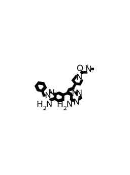 CN(C)CC(=O)N1CCC(c2cc(-c3ccc4c(N)n(Cc5ccccc5)nc4c3)c3c(N)ncnn23)CC1